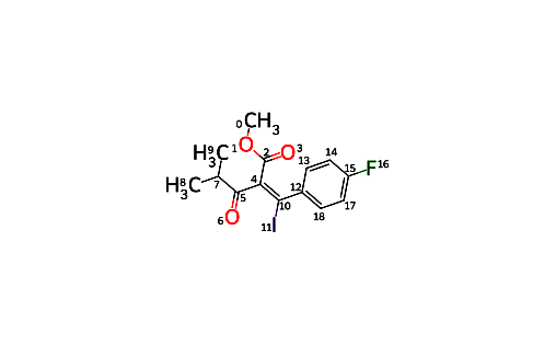 COC(=O)C(C(=O)C(C)C)=C(I)c1ccc(F)cc1